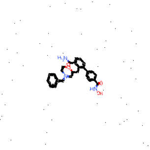 NC(=O)c1cccc(-c2ccc(C(=O)NO)cc2)c1CC1CN(Cc2ccccc2)CCO1